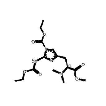 CCOC(=O)[Se]c1nc(C[C@@H](C(=O)OC)N(C)C)cn1C(=O)OCC